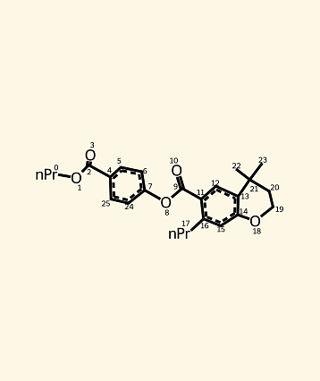 CCCOC(=O)c1ccc(OC(=O)c2cc3c(cc2CCC)OCCC3(C)C)cc1